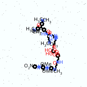 COc1cc(/N=N/c2ccc([N+](=O)[O-])cc2)c(OC)cc1/N=N/c1ccc(N(C)CCCC(=O)NCCc2ccc(O[C@@H]3O[C@H](COCCCCn4cc(CNC(=O)[C@@H](CCCCN(C)C)NC(=O)c5ccc(-c6c7ccc(=[N+](C)C)cc-7oc7cc(N(C)C)ccc67)c(C(=O)[O-])c5)nn4)[C@@H](O)[C@H](O)[C@H]3O)cc2)cc1